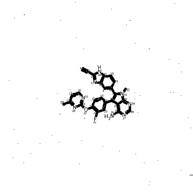 C#Cc1nc2cc(-c3c(-c4ccc(Oc5nccc(C)n5)c(F)c4)c4c(N)ncnc4n3C)ccc2[nH]1